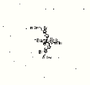 CCCCCCCCCCCCc1cc(-c2ccc(C3=C4C(=O)N(CC(CCCC)CCCC)C(c5ccc(-c6cc(CCCCCCCCCCCC)c(Br)s6)s5)=C4C(=O)N3CC(CCCC)CCCC)s2)sc1Br